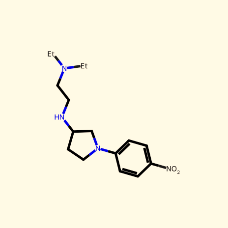 CCN(CC)CCNC1CCN(c2ccc([N+](=O)[O-])cc2)C1